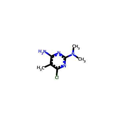 Cc1c(N)nc(N(C)C)nc1Cl